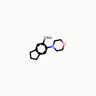 COc1cc2c(cc1N1CCOCC1)CCC2